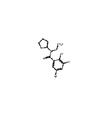 O=C(O)CN(C(=O)c1cc(Cl)cc(Cl)c1S)C1CCCC1